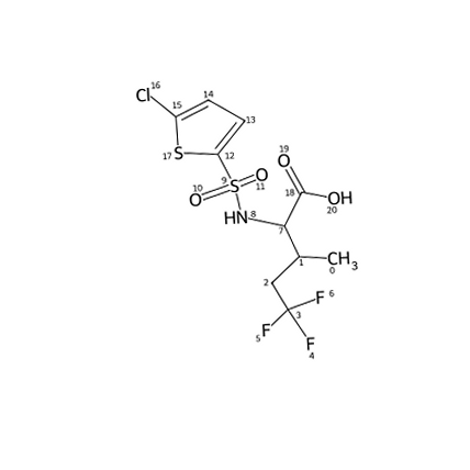 CC(CC(F)(F)F)C(NS(=O)(=O)c1ccc(Cl)s1)C(=O)O